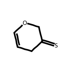 S=C1CC=COC1